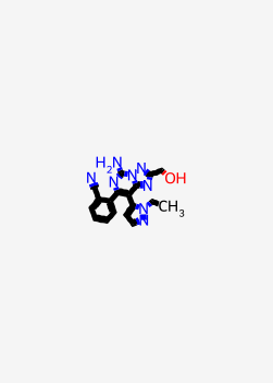 CCn1nccc1-c1c(-c2ccccc2C#N)nc(N)n2nc(CO)nc12